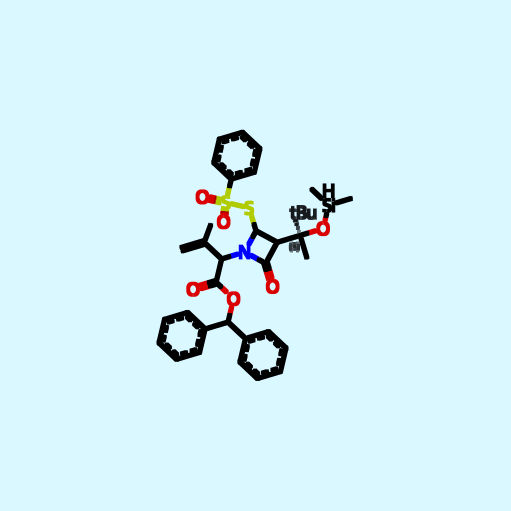 C=C(C)C(C(=O)OC(c1ccccc1)c1ccccc1)N1C(=O)C([C@](C)(O[SiH](C)C)C(C)(C)C)C1SS(=O)(=O)c1ccccc1